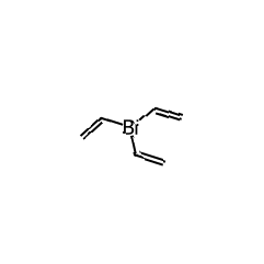 C=[CH][Bi]([CH]=C)[CH]=C